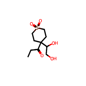 CCC(=O)C1(C(O)CO)CCS(=O)(=O)CC1